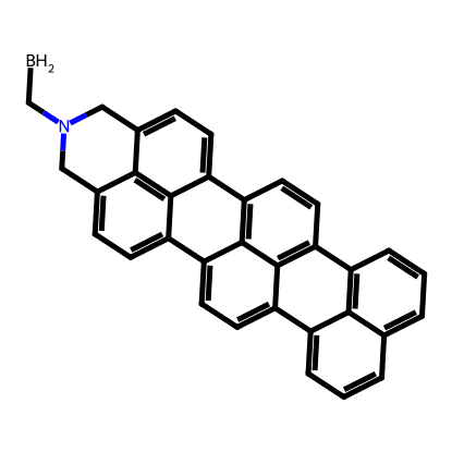 BCN1Cc2ccc3c4ccc5c6cccc7cccc(c8ccc(c9ccc(c2c39)C1)c4c58)c76